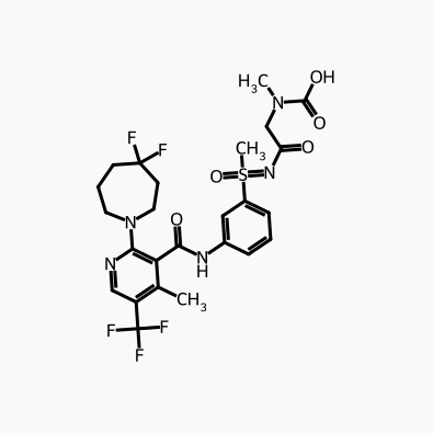 Cc1c(C(F)(F)F)cnc(N2CCCC(F)(F)CC2)c1C(=O)Nc1cccc(S(C)(=O)=NC(=O)CN(C)C(=O)O)c1